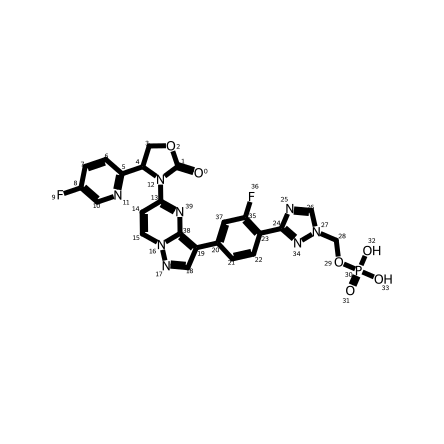 O=C1OCC(c2ccc(F)cn2)N1c1ccn2ncc(-c3ccc(-c4ncn(COP(=O)(O)O)n4)c(F)c3)c2n1